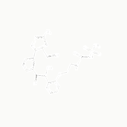 CN(C(=O)c1cccc(-c2cnc(C(F)(F)F)cc2C=N)c1)c1ccccc1OCCNC(=O)NS(C)(=O)=O